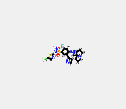 O=S(=O)(Nc1ncc(Cl)s1)c1cc(C2=NCC2)c(NCC23CCCN2CCC3)cc1F